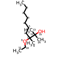 CCCCCCCC(C)(OCC)C(C)(C)O